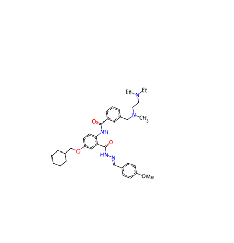 CCN(CC)CCN(C)Cc1cccc(C(=O)Nc2ccc(OCC3CCCCC3)cc2C(=O)NN=Cc2ccc(OC)cc2)c1